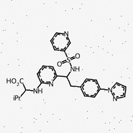 CC(C)C(Nc1cccc(C(Cc2ccc(-n3cccn3)cc2)NS(=O)(=O)c2cccnc2)n1)C(=O)O